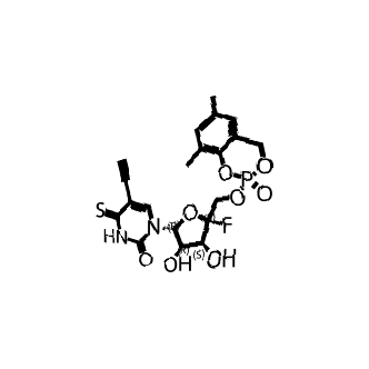 C#Cc1cn([C@@H]2O[C@](F)(COP3(=O)OCc4cc(C)cc(C)c4O3)[C@@H](O)[C@H]2O)c(=O)[nH]c1=S